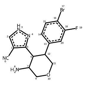 N#Cc1c[nH]nc1C1C(N)COCC1c1ccc(Br)c(F)c1